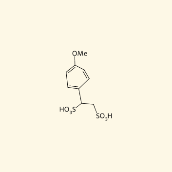 COc1ccc(C(CS(=O)(=O)O)S(=O)(=O)O)cc1